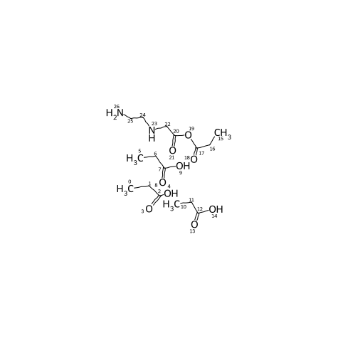 CCC(=O)O.CCC(=O)O.CCC(=O)O.CCC(=O)OC(=O)CNCCN